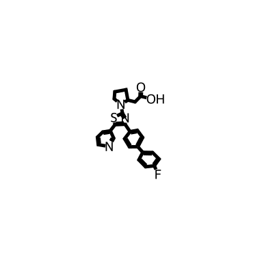 O=C(O)CC1CCCN1c1nc(-c2ccc(-c3ccc(F)cc3)cc2)c(-c2cccnc2)s1